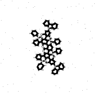 c1ccc(N2B3Oc4cc(-n5c6ccccc6c6ccccc65)cc5c4-c4c3c(c3c6c4B(O5)N(c4ccccc4)c4cc5c7c(c4-6)C(O3)Oc3c4c6c8c(c3-7)B(Oc3cc(-n7c9ccccc9c9ccccc97)cc(c3-8)OB6N(c3ccccc3)c3ccccc3-4)N5c3ccccc3)-c3ccccc32)cc1